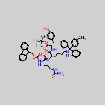 Cc1ccc(C(NCCCC[C@H](NC(=O)[C@H](CCCNC(N)=O)NC(=O)OCC2c3ccccc3-c3ccccc32)C(=O)N[C@@H](Cc2ccc(O)cc2)C(=O)OC(C)(C)C)(c2ccccc2)c2ccccc2)cc1